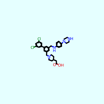 O=C(O)CC1CCN(Cc2cc(CNc3ccc(N4CCNCC4)cc3)cc(-c3cc(Cl)cc(Cl)c3)c2)CC1